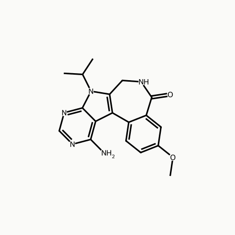 COc1ccc2c(c1)C(=O)NCc1c-2c2c(N)ncnc2n1C(C)C